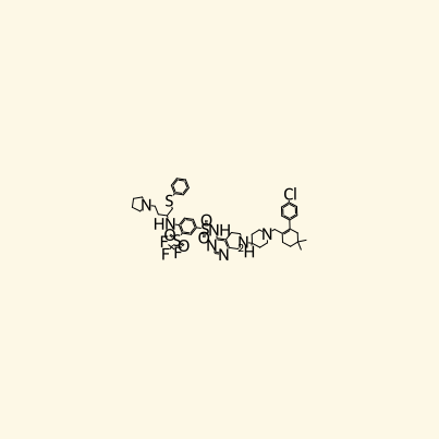 [2H]C1(N2CCc3c(ncnc3NS(=O)(=O)c3ccc(NC(CCN4CCCC4)CSc4ccccc4)c(S(=O)(=O)C(F)(F)F)c3)C2)CCN(CC2=C(c3ccc(Cl)cc3)CC(C)(C)CC2)CC1